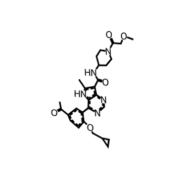 COCC(=O)N1CCC(NC(=O)c2c(C)[nH]c3c(-c4cc(C(C)=O)ccc4OCC4CC4)ncnc23)CC1